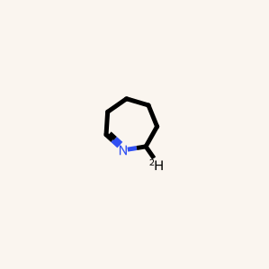 [2H]C1CCCCC=N1